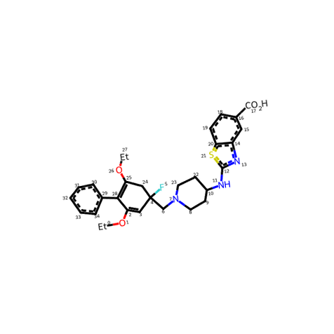 CCOC1=CC(F)(CN2CCC(Nc3nc4cc(C(=O)O)ccc4s3)CC2)CC(OCC)=C1c1ccccc1